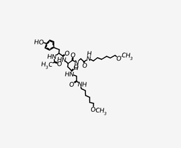 COCCCCCCNC(=O)CNC(=O)CC(NC(=O)C(Cc1ccc(O)cc1)NC(C)=O)C(=O)NCC(=O)NCCCCCCOC